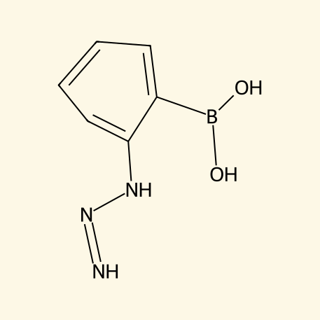 N=NNc1ccccc1B(O)O